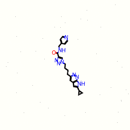 O=C(NCc1ccncc1)c1cn(CCCCc2cc3cc(C4CC4)[nH]c3nn2)nn1